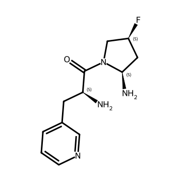 N[C@@H]1C[C@H](F)CN1C(=O)[C@@H](N)Cc1cccnc1